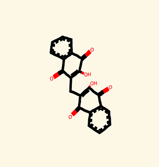 O=C1C(O)=C(CC2=C(O)C(=O)c3ccccc3C2=O)C(=O)c2ccccc21